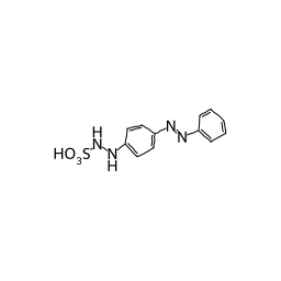 O=S(=O)(O)NNc1ccc(N=Nc2ccccc2)cc1